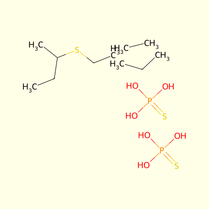 CC.CCC.CCSC(C)CC.OP(O)(O)=S.OP(O)(O)=S